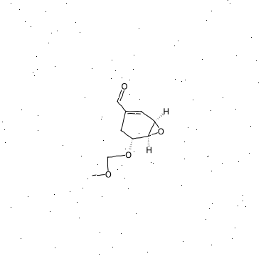 COCO[C@@H]1CC(C=O)=C[C@H]2O[C@H]21